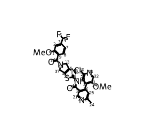 COc1cc(C(F)F)ccc1C(=O)N1Cc2nc(NC(=O)c3cnc(C)cc3-c3cc(Cl)ncc3OC)sc2C1